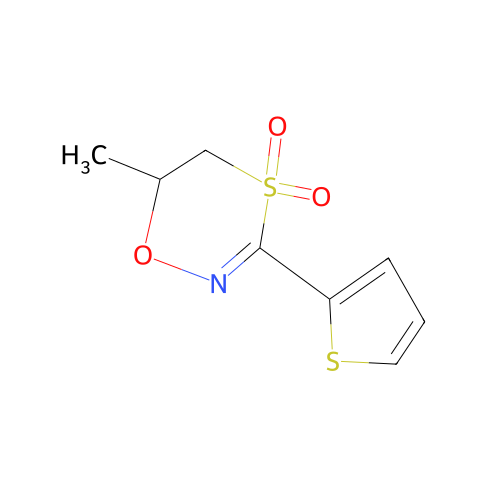 CC1CS(=O)(=O)C(c2cccs2)=NO1